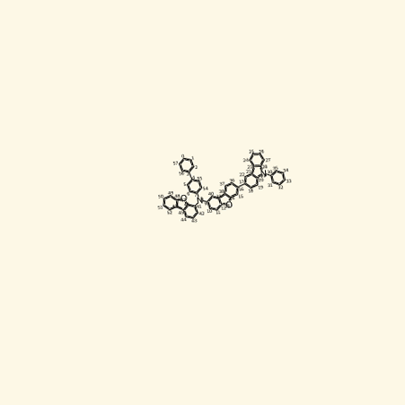 c1ccc(-c2ccc(N(c3ccc4oc5cc(-c6ccc7c(c6)c6ccccc6n7-c6ccccc6)ccc5c4c3)c3cccc4c3oc3ccccc34)cc2)cc1